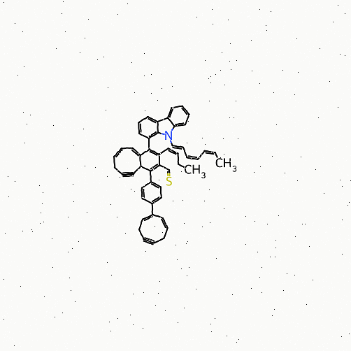 C\C=C/C=C\C=C\n1c2ccccc2c2cccc(C3=C(/C=C\CC)C(C=S)=C(c4ccc(C5=C/CC#CC/C=C\5)cc4)C4C#CC/C=C\C=C3/4)c21